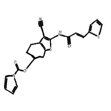 N#Cc1c(NC(=O)C=Cc2cccs2)sc2c1CCC(OC(=O)n1cccc1)C2